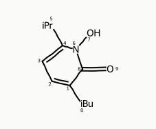 CCC(C)c1ccc(C(C)C)n(O)c1=O